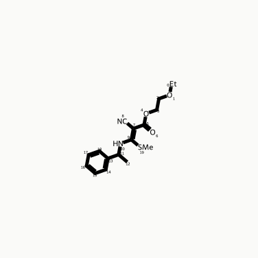 CCOCCOC(=O)/C(C#N)=C(/NC(C)c1ccccc1)SC